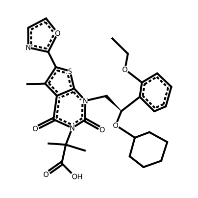 CCOc1ccccc1[C@H](Cn1c(=O)n(C(C)(C)C(=O)O)c(=O)c2c(C)c(-c3ncco3)sc21)OC1CCCCC1